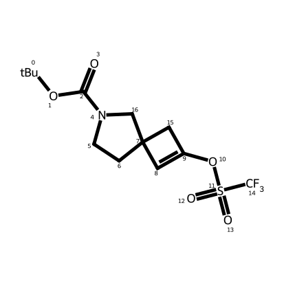 CC(C)(C)OC(=O)N1CCC2(C=C(OS(=O)(=O)C(F)(F)F)C2)C1